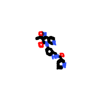 Cc1onc2c1c(=O)n(C1CCCC(CNC(=O)c3cccnc3)C1)c1cnccc21